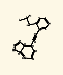 CC(C)Oc1ccccc1C#Cc1ncnc2[nH]ccc12